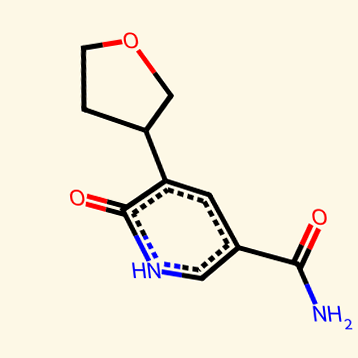 NC(=O)c1c[nH]c(=O)c(C2CCOC2)c1